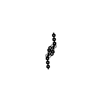 Cc1ccc(-c2ccc(-c3ccc(OC(=O)COc4ccc5c(c4-c4c(OCC(=O)Oc6ccc(-c7ccc(-c8ccc(C)cc8)cc7)cc6)ccc6c4CCCC6)CCCC5)cc3)cc2)cc1